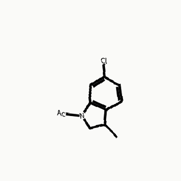 CC(=O)N1CC(C)c2ccc(Cl)cc21